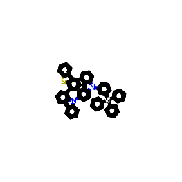 c1ccc([Si](c2ccccc2)(c2ccccc2)c2cccc(-n3c4ccccc4c4cc(-n5c6ccccc6c6cccc(-c7cccc8c7sc7ccccc78)c65)ccc43)c2)cc1